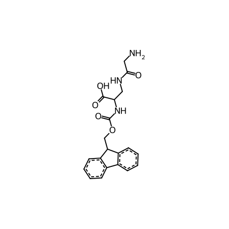 NCC(=O)NCC(NC(=O)OCC1c2ccccc2-c2ccccc21)C(=O)O